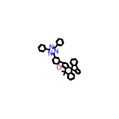 CC1(C)c2ccccc2C2(c3ccccc3-c3ccccc32)c2ccc3c(oc4ccc(-c5nc(-c6ccccc6)nc(-c6ccccc6)n5)cc43)c21